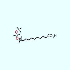 C[Si](C)(C)O[Si](C)(C)O[Si](C)(C)CCCCCCCCCC(=O)O